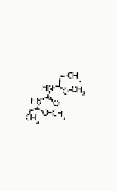 CCC(NC(=O)NC(CC)OC)OC